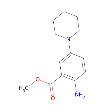 COC(=O)c1cc(N2CCCCC2)ccc1N